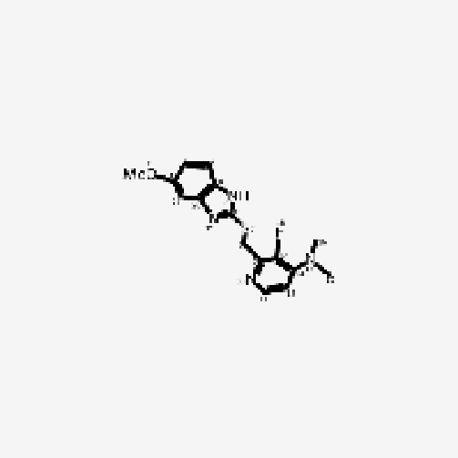 COc1ccc2[nH]c(SCc3nccc(N(C)C)c3F)nc2c1